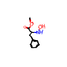 COC(=O)[C@H](Cc1ccccc1)NO